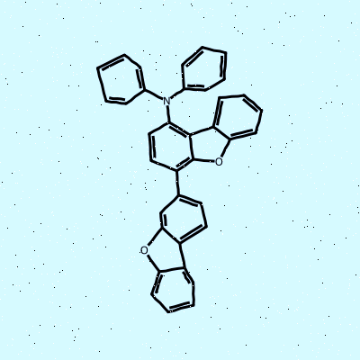 c1ccc(N(c2ccccc2)c2ccc(-c3ccc4c(c3)oc3ccccc34)c3oc4ccccc4c23)cc1